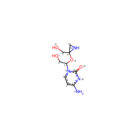 Nc1ccn(C(CO)OC2(CO)CN2)c(=O)n1